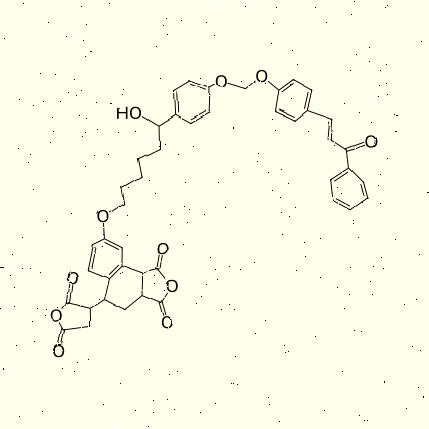 O=C1CC(C2CC3C(=O)OC(=O)C3c3cc(OCCCCCC(O)c4ccc(OCOc5ccc(C=CC(=O)c6ccccc6)cc5)cc4)ccc32)C(=O)O1